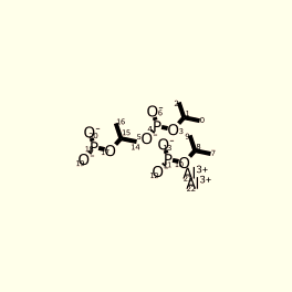 CC(C)OP([O-])[O-].CC(C)OP([O-])[O-].CC(C)OP([O-])[O-].[Al+3].[Al+3]